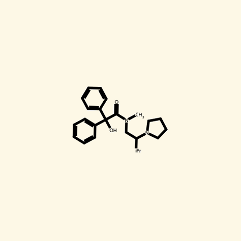 CC(C)C(CN(C)C(=O)C(O)(c1ccccc1)c1ccccc1)N1CCCC1